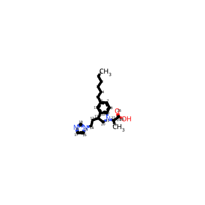 CCCCCCc1ccc2c(c1)C(CCn1ccnc1)CN2C(C)C(=O)O